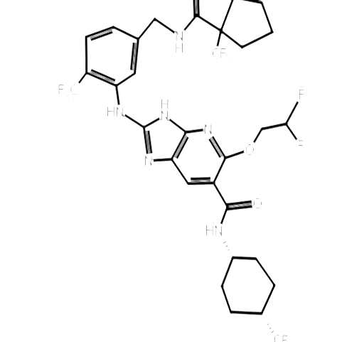 O=C(N[C@H]1CC[C@@H](C(F)(F)F)CC1)c1cc2nc(Nc3cc(CNC(=O)C4(C(F)(F)F)CCCC4)ccc3C(F)(F)F)[nH]c2nc1OCC(F)F